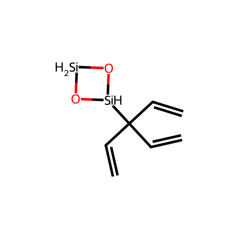 C=CC(C=C)(C=C)[SiH]1O[SiH2]O1